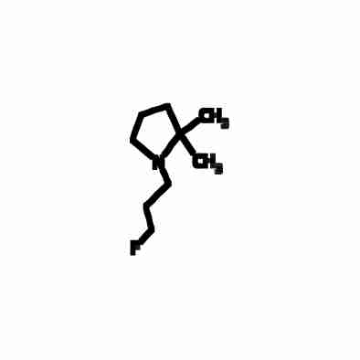 CC1(C)CCCN1CCCF